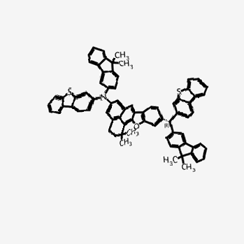 CC1(C)CCc2cc(N(c3ccc4c(c3)-c3ccccc3C4(C)C)c3ccc4c(c3)sc3ccccc34)cc3cc4c(oc5cc([C@@H](c6ccc7c(c6)-c6ccccc6C7(C)C)c6ccc7c(c6)sc6ccccc67)ccc54)c1c23